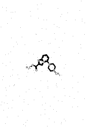 COC(=O)c1cn2c(N3CCN(C)CC3)cccc2n1